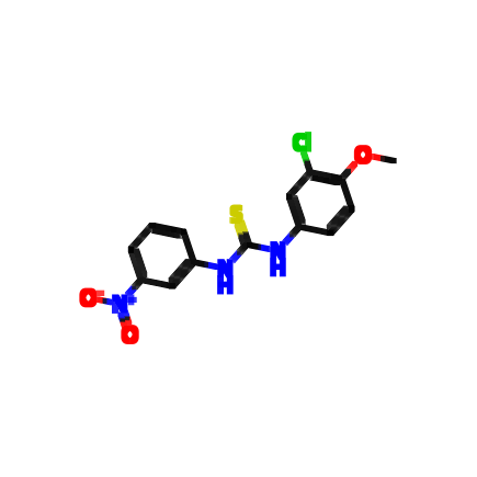 COc1ccc(NC(=S)Nc2cccc([N+](=O)[O-])c2)cc1Cl